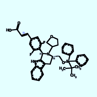 CC(C)(C)[Si](OC[C@@H]1Cc2c([nH]c3ccccc23)[C@@H](c2c(F)cc(/C=C/C(=O)O)cc2F)N1C1CCOC1)(c1ccccc1)c1ccccc1